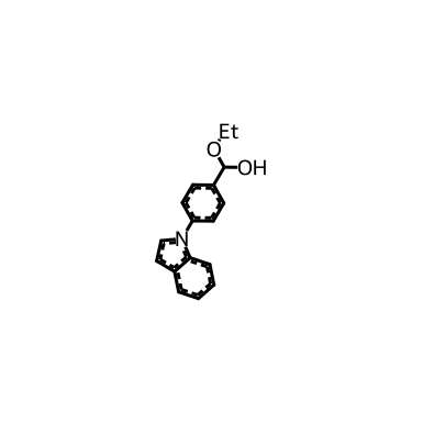 CCOC(O)c1ccc(-n2ccc3ccccc32)cc1